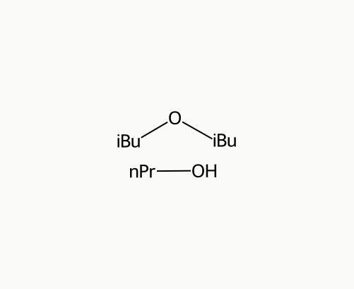 CCC(C)OC(C)CC.CCCO